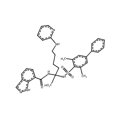 Cc1cc(-c2ccccc2)cc(C)c1S(=O)(=O)NC(CCCCNc1ccccn1)(NC(=O)c1cccc2cn[nH]c12)C(=O)O